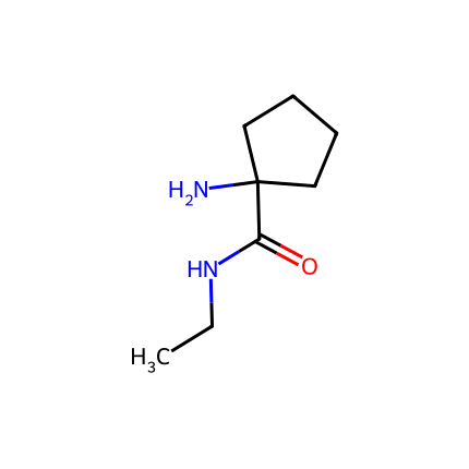 CCNC(=O)C1(N)CCCC1